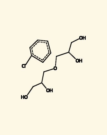 Clc1ccccc1.OCC(O)COCC(O)CO